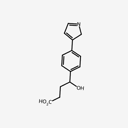 O=C(O)CCC(O)c1ccc(C2=CC=NC2)cc1